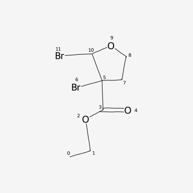 CCOC(=O)C1(Br)CCOC1Br